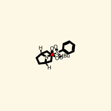 CC(C)(C)OC(=O)N1[C@@H]2CC[C@H]1C[C@H](S(=O)(=O)c1ccccc1)C2